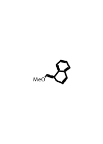 COC=C1CC=Cc2ccccc21